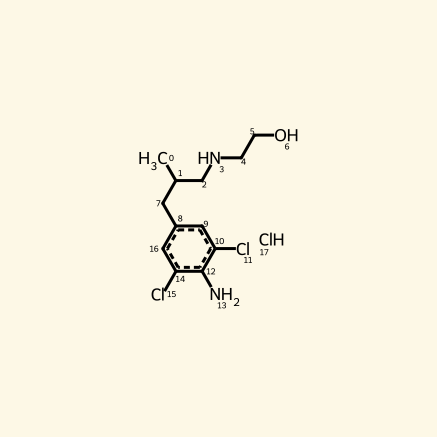 CC(CNCCO)Cc1cc(Cl)c(N)c(Cl)c1.Cl